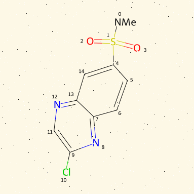 CNS(=O)(=O)c1ccc2nc(Cl)cnc2c1